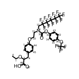 CCOC(Cc1ccc(OCCN(CC(F)(F)C(F)(F)C(F)(F)C(F)(F)C(F)(F)F)C(=O)Oc2ccc(OC(F)(F)F)cc2)cc1)C(=O)O